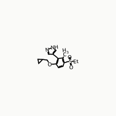 CCS(=O)(=O)c1ccc(OCC2CC2)c(-c2cn[nH]c2)c1C